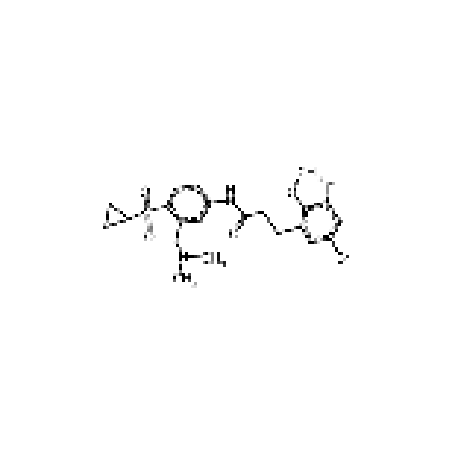 COc1c(F)cc(Br)cc1CCC(=O)Nc1ccc(S(=O)(=O)C2CC2)c(CN(C)C)c1